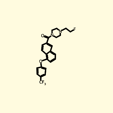 O=C(c1ccc2c(Oc3ccc(C(F)(F)F)cc3)cccc2c1)N1CCN(CCF)CC1